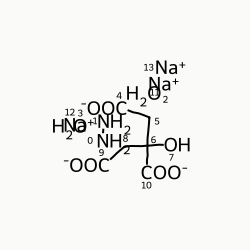 NN.O.O.O=C([O-])CC(O)(CC(=O)[O-])C(=O)[O-].[Na+].[Na+].[Na+]